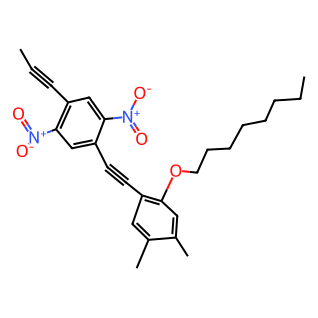 CC#Cc1cc([N+](=O)[O-])c(C#Cc2cc(C)c(C)cc2OCCCCCCCC)cc1[N+](=O)[O-]